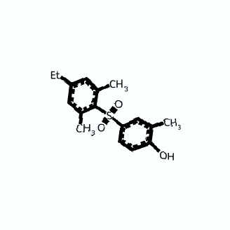 CCc1cc(C)c(S(=O)(=O)c2ccc(O)c(C)c2)c(C)c1